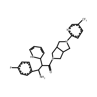 NC(c1ccc(F)cc1)C(C(=O)N1CC2CN(c3ccc(C(F)(F)F)cn3)CC2C1)C1C=CC=CN1